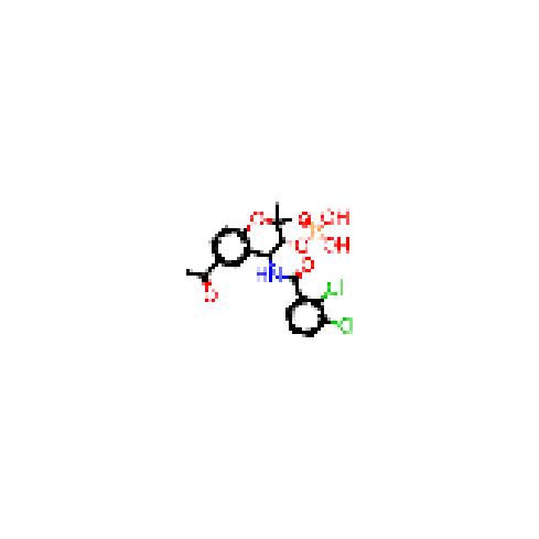 CC(=O)c1ccc2c(c1)[C@H](NC(=O)c1cccc(Cl)c1Cl)[C@@H](OP(=O)(O)O)C(C)(C)O2